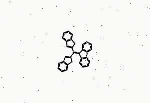 C1=C(C(C2=Cc3ccccc3C2)=C2c3ccccc3-c3ccccc32)Cc2ccccc21